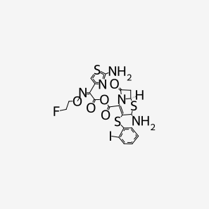 Nc1nc(/C(=N/OCCF)C(=O)OC(=O)C2=C(Sc3ccccc3I)C(N)S[C@@H]3CC(=O)N23)cs1